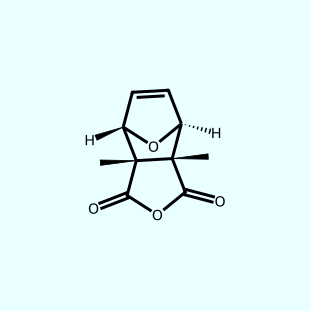 C[C@@]12C(=O)OC(=O)[C@]1(C)[C@@H]1C=C[C@@H]2O1